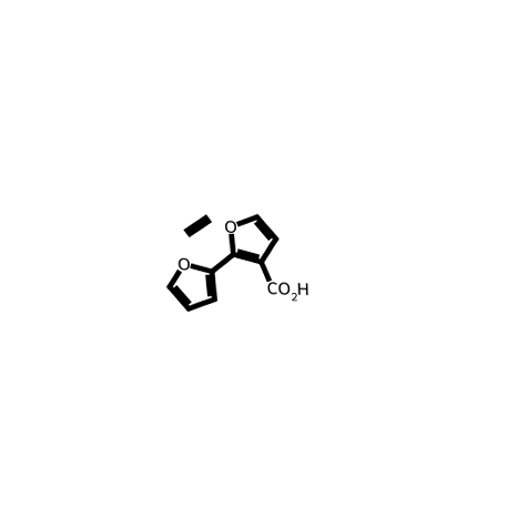 C=C.O=C(O)c1ccoc1-c1ccco1